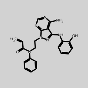 C=CC(=O)N(CCn1nc(Nc2ccccc2O)c2c(N)ncnc21)c1ccccc1